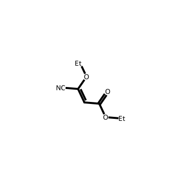 CCOC(=O)C=C(C#N)OCC